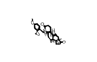 COc1ccc(CN2C(=O)CC[C@]3(C)[C@H]4CC[C@]5(C)C(=O)CC[C@H]5[C@@H]4[C@@H](C)C[C@@H]23)c(OC)c1